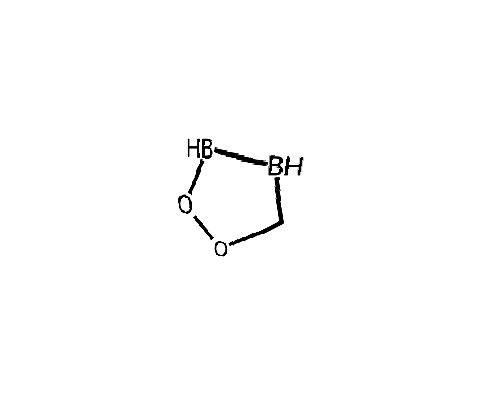 B1BOOC1